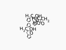 C1=CCC=C1.C1=CCC=C1.C=C(C)C(=O)O.C=C(CC1=CC=CC1)C(=O)O.C=C(CC1=CC=CC1)C(=O)O